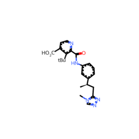 C[C@H](Cc1nncn1C)c1cccc(NC(=O)c2nccc(C(=O)O)c2C(C)(C)C)c1